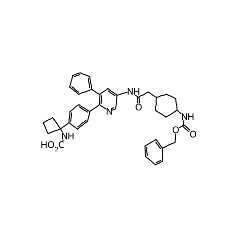 O=C(O)NC1(c2ccc(-c3ncc(NC(=O)CC4CCC(NC(=O)OCc5ccccc5)CC4)cc3-c3ccccc3)cc2)CCC1